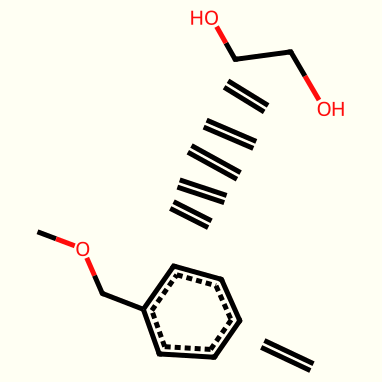 C=C.C=C.C=C.C=C.C=C.C=C.COCc1ccccc1.OCCO